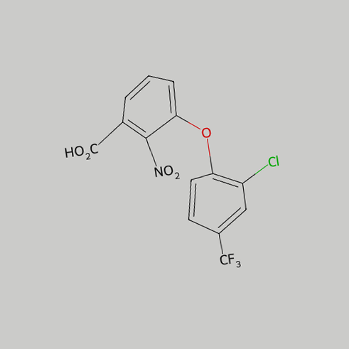 O=C(O)c1cccc(Oc2ccc(C(F)(F)F)cc2Cl)c1[N+](=O)[O-]